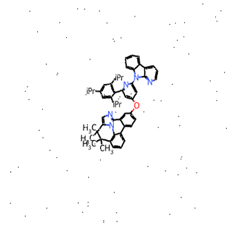 CC(C)c1cc(C(C)C)c(-c2cc(Oc3ccc4c(c3)c3ncc5n3c3c(cccc43)C(C)(C)C5(C)C)cc(-n3c4ccccc4c4cccnc43)n2)c(C(C)C)c1